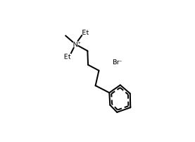 CC[N+](C)(CC)CCCCc1ccccc1.[Br-]